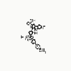 CN1CCN(c2ccc(S(=O)(=O)N(C)c3ccc(-c4nc(C(=O)O)cc5c4[nH]c4cc(F)ccc45)cc3)cc2)CC1